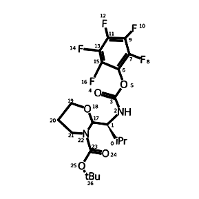 CC(C)[C@H](NC(=O)Oc1c(F)c(F)c(F)c(F)c1F)C1OCCCN1C(=O)OC(C)(C)C